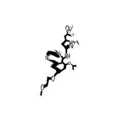 COCCOc1cc(OC(C)C)c2c(Nc3cc(CC(=O)O)[nH]n3)ncnc2c1